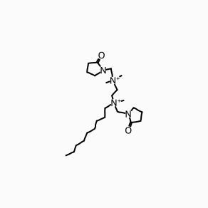 CCCCCCCCC[N+](C)(CC[N+](C)(C)CN1CCCC1=O)CN1CCCC1=O